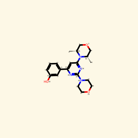 C[C@@H]1COC[C@H](C)N1c1cc(-c2cccc(O)c2)nc(N2CCOCC2)n1